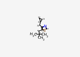 CC(C)(C)Cc1scnc1CC1CC1